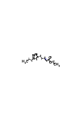 CCCn1cc(CC/C=C/C(=O)OCC)nn1